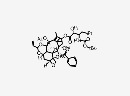 C=CC1O[C@H]2C[C@H]3OC[C@@]3(OC(C)=O)[C@H]3[C@H](OC(=O)c4ccccc4)[C@]4(O)C[C@H](OC(=O)[C@H](O)C(CC(C)C)NC(=O)OC(C)(C)C)C(C)=C([C@H](OC(C)=O)[C@H](O1)[C@]23C)C4(C)C